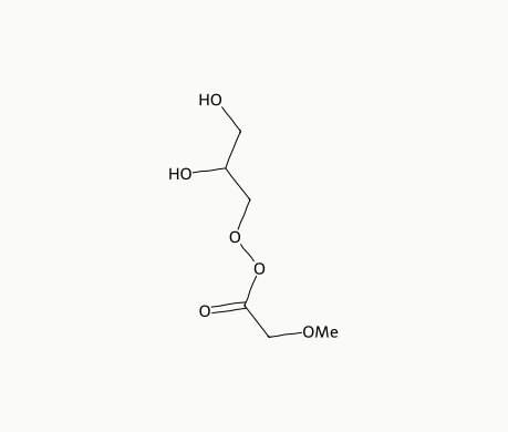 COCC(=O)OOCC(O)CO